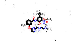 COc1c(NC(=O)c2ccc(C)c(Oc3ccnc(CNCCN(C)C)n3)c2)cc(C(C)(C)C)cc1NS(C)(=O)=O